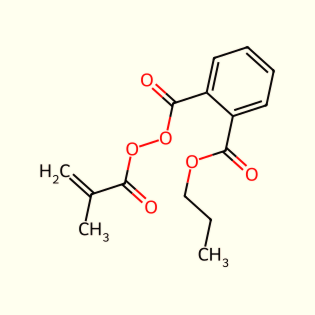 C=C(C)C(=O)OOC(=O)c1ccccc1C(=O)OCCC